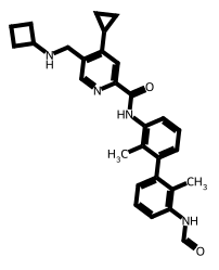 Cc1c(NC=O)cccc1-c1cccc(NC(=O)c2cc(C3CC3)c(CNC3CCC3)cn2)c1C